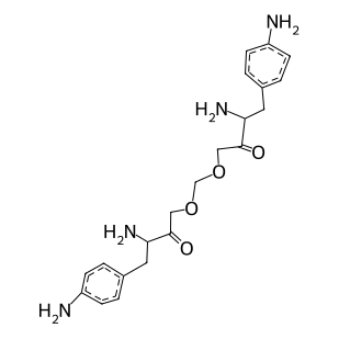 Nc1ccc(CC(N)C(=O)COCOCC(=O)C(N)Cc2ccc(N)cc2)cc1